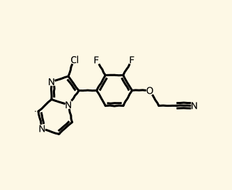 N#CCOc1ccc(-c2c(Cl)nc3[c]nccn23)c(F)c1F